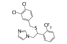 FC(F)(F)c1ccccc1C(Cn1ccnc1)SCc1ccc(Cl)c(Cl)c1